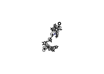 C=CCC1O[C@@H](C(/C=C/C(=O)CCC2CC(=C)[C@H](CCC3CC(C)C(=C)C(C[C@@H]4O[C@H](CC(CO[Si](C)(C)C(C)(C)C)O[Si](C)(C)C(C)(C)C)[C@H](OC)C4CC(=O)OC)O3)O2)O[Si](C)(C)C(C)(C)C)C(O[Si](C)(C)C(C)(C)C)C(O[Si](C)(C)C(C)(C)C)C1OC(=O)c1ccccc1